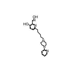 ON=Cc1nc(CCCCCN2CCN(c3ccccn3)CC2)ccc1O